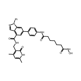 Cc1cc(C)c(CNC(=O)c2cc(-c3ccc(NC(=O)CCCCCC(=O)NO)cc3)cc3c2cnn3C(C)C)c(=O)[nH]1